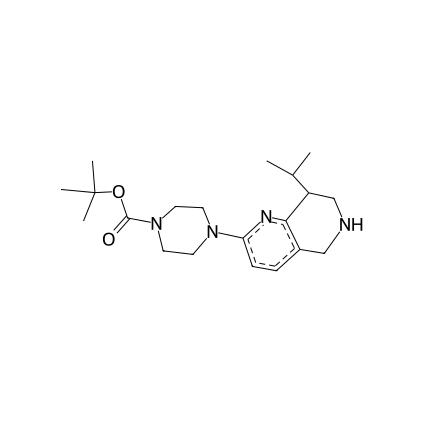 CC(C)C1CNCc2ccc(N3CCN(C(=O)OC(C)(C)C)CC3)nc21